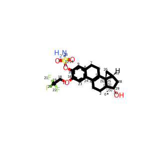 C[C@]12CCC3=C(CCc4cc(OS(N)(=O)=O)c(OCC(F)(F)F)cc43)[C@@]13C[C@H]3C[C@@H]2O